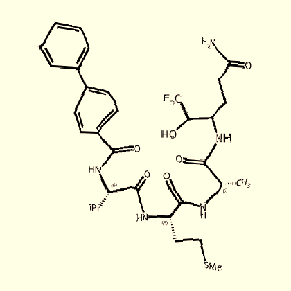 CSCC[C@H](NC(=O)[C@@H](NC(=O)c1ccc(-c2ccccc2)cc1)C(C)C)C(=O)N[C@@H](C)C(=O)NC(CCC(N)=O)C(O)C(F)(F)F